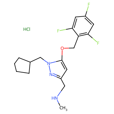 CNCc1cc(OCc2c(F)cc(F)cc2F)n(CC2CCCC2)n1.Cl